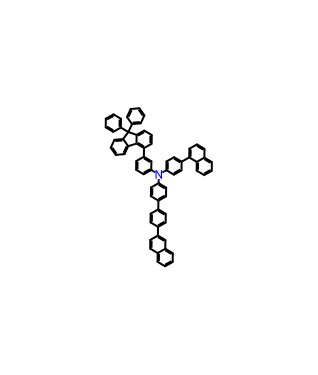 c1ccc(C2(c3ccccc3)c3ccccc3-c3c(-c4cccc(N(c5ccc(-c6ccc(-c7ccc8ccccc8c7)cc6)cc5)c5ccc(-c6cccc7ccccc67)cc5)c4)cccc32)cc1